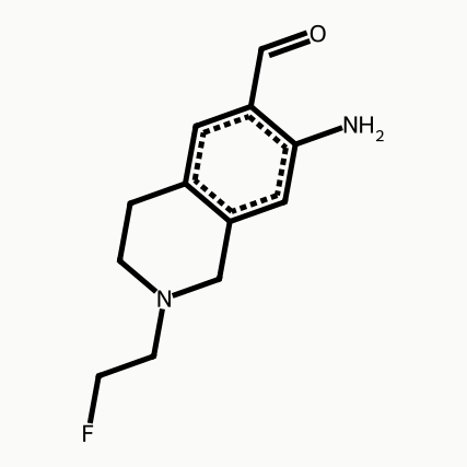 Nc1cc2c(cc1C=O)CCN(CCF)C2